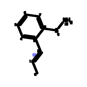 C/C=C/c1ccccc1SN